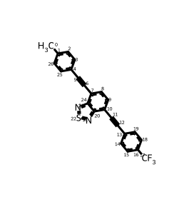 Cc1ccc(C#Cc2ccc(C#Cc3ccc(C(F)(F)F)cc3)c3nsnc23)cc1